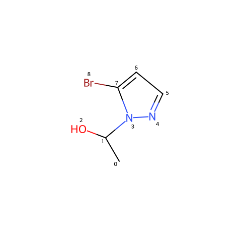 CC(O)n1nccc1Br